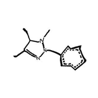 CC1=NN(c2ccccc2)N(C)C1C